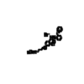 CCCCCCCCCCCCCCOc1ccc(CC(=O)Nc2ccccc2C[n+]2ccccc2)c(Cl)c1.[Br-]